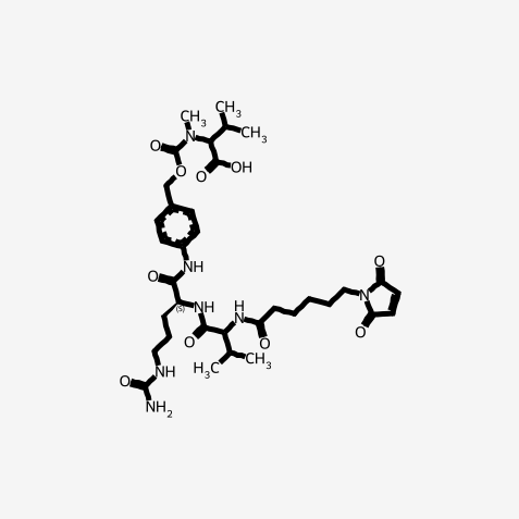 CC(C)C(NC(=O)CCCCCN1C(=O)C=CC1=O)C(=O)N[C@@H](CCCNC(N)=O)C(=O)Nc1ccc(COC(=O)N(C)C(C(=O)O)C(C)C)cc1